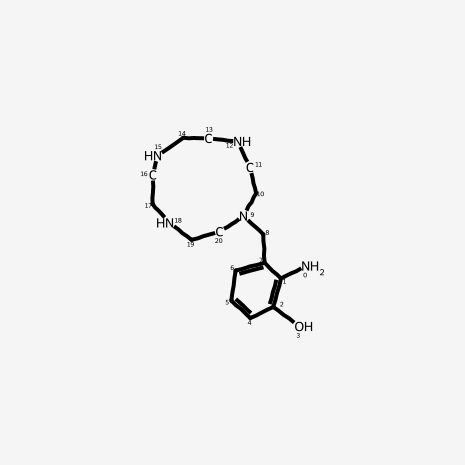 Nc1c(O)cccc1CN1CCNCCNCCNCC1